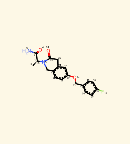 C[C@@H](C(N)=O)N1Cc2ccc(OCc3ccc(F)cc3)cc2CC1=O